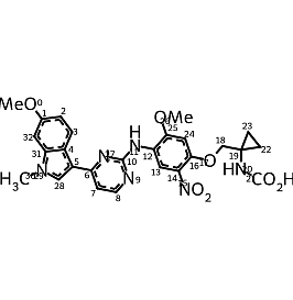 COc1ccc2c(-c3ccnc(Nc4cc([N+](=O)[O-])c(OCC5(NC(=O)O)CC5)cc4OC)n3)cn(C)c2c1